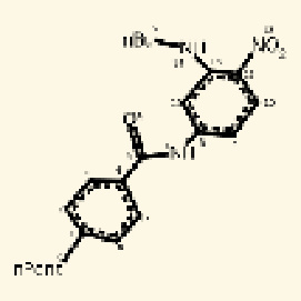 CCCCCc1ccc(C(=O)Nc2ccc([N+](=O)[O-])c(NCCCC)c2)cc1